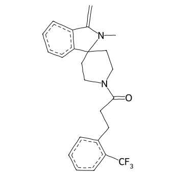 C=C1c2ccccc2C2(CCN(C(=O)CCc3ccccc3C(F)(F)F)CC2)N1C